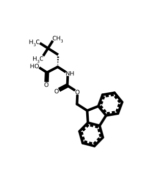 CC(C)(C)C[C@H](NC(=O)OCC1c2ccccc2-c2ccccc21)C(=O)O